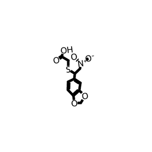 O=C(O)CSC(C[N+](=O)[O-])c1ccc2c(c1)OCO2